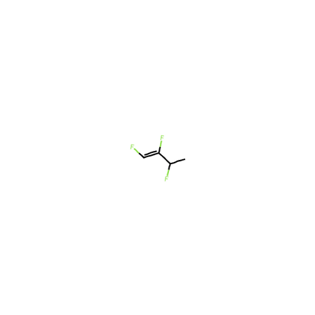 CC(F)C(F)=CF